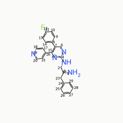 N[C@@H](CNc1ncc(-c2ccc(F)cc2)c(-c2ccncc2)n1)Cc1ccccc1